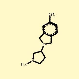 Cc1ccc2c(c1)CN(C1CCN(C)C1)C2